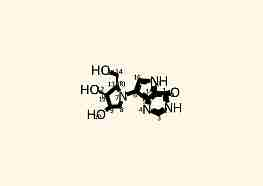 O=c1[nH]cnc2c(N3CC(O)[C@@H](O)[C@H]3CO)c[nH]c12